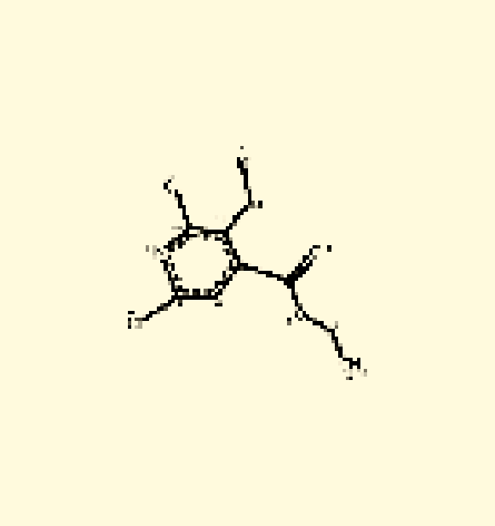 CCOC(=O)c1cc(Cl)nc(Cl)c1CBr